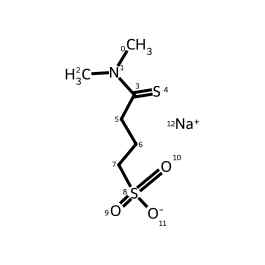 CN(C)C(=S)CCCS(=O)(=O)[O-].[Na+]